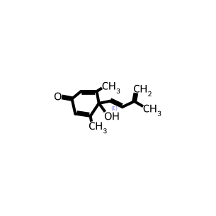 C=C(C)/C=C/C1(O)C(C)=CC(=O)C=C1C